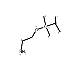 CC(C)[Si](C)(C)OCCN